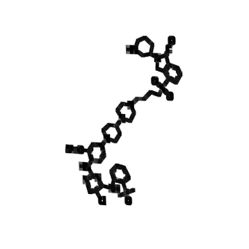 COc1cc(N2CCC(N3CCN(CCCCS(=O)(=O)c4cccc5c4CN(C4CCCNC4)C5=C=O)CC3)CC2)ccc1Nc1ncc(Cl)c(Nc2ccccc2P(C)(C)=O)n1